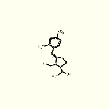 Cc1cc([N+](=O)[O-])ccc1/N=C1\SCC(C(C)O)N1CC(C)C